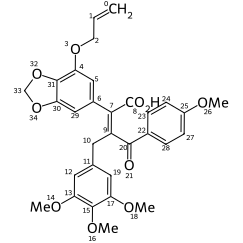 C=CCOc1cc(C(C(=O)O)=C(Cc2cc(OC)c(OC)c(OC)c2)C(=O)c2ccc(OC)cc2)cc2c1OCO2